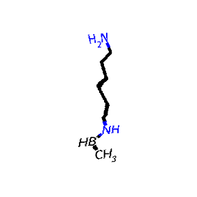 CBNCCCCCCN